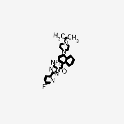 CC(C)N1CCN(c2ccc(C(=O)n3nc(-c4ccc(F)cn4)nc3N)c3ccccc23)CC1